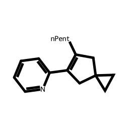 CCCCCC1=C(c2ccccn2)CC2(CC2)C1